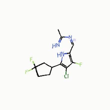 CC(=N)/N=C\c1[nH]c(C2CCC(F)(F)C2)c(Cl)c1F